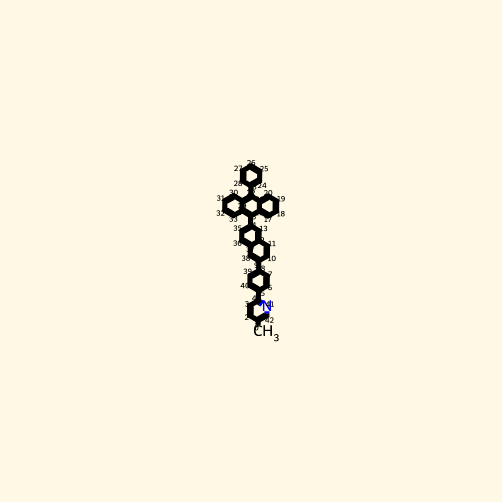 Cc1ccc(-c2ccc(-c3ccc4cc(-c5c6ccccc6c(-c6ccccc6)c6ccccc56)ccc4c3)cc2)nc1